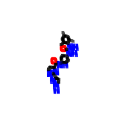 Cc1cc(C)c(NC(=O)Nc2ccc(NC(=O)c3ccnc(-c4cc[nH]n4)n3)cc2)c(C)c1